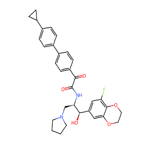 O=C(N[C@H](CN1CCCC1)[C@H](O)c1cc(F)c2c(c1)OCCO2)C(=O)c1ccc(-c2ccc(C3CC3)cc2)cc1